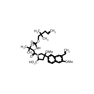 C=CCC(C)(C)COC(=O)N[C@H](C(=O)N1CC(OC)(c2ccc3cc(OC)c(C=C)cc3c2)CC1C(=O)O)C(C)(C)CC